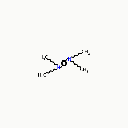 CCCCCCCN(CCCCCCC)Cc1ccc(CN(CCCCCCC)CCCCCCC)cc1